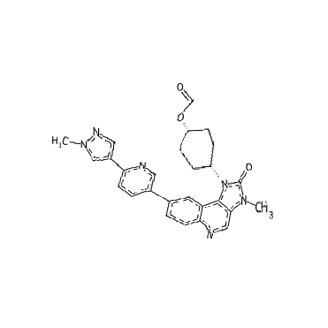 Cn1cc(-c2ccc(-c3ccc4ncc5c(c4c3)n([C@H]3CC[C@@H](OC=O)CC3)c(=O)n5C)cn2)cn1